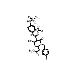 CC(C)CC1CC(O)=C(C2=NS(=O)(=O)c3cc(NS(C)(=O)=O)ccc3N2)C(=O)N1Cc1ccc(F)cc1